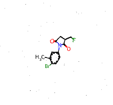 Cc1cc(N2C(=O)CC(CF)C2=O)ccc1Br